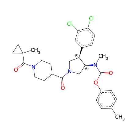 Cc1ccc(OC(=O)N(C)[C@H]2CN(C(=O)C3CCN(C(=O)C4(C)CC4)CC3)C[C@H]2c2ccc(Cl)c(Cl)c2)cc1